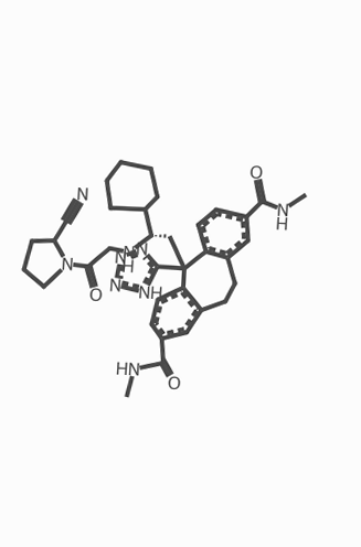 CNC(=O)c1ccc2c(c1)CCc1cc(C(=O)NC)ccc1C2(C[C@H](NCC(=O)N1CCCC1C#N)C1CCCCC1)c1nnn[nH]1